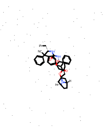 CC(C)C[C@H](NC(=O)N[C@H]1CC[C@H](CCN2[C@H]3CC[C@H]2CC(OC(=O)C(CO)c2ccccc2)C3)CC1)C(C#N)(c1ccccc1)c1ccccc1